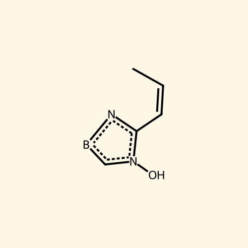 C/C=C\c1nbcn1O